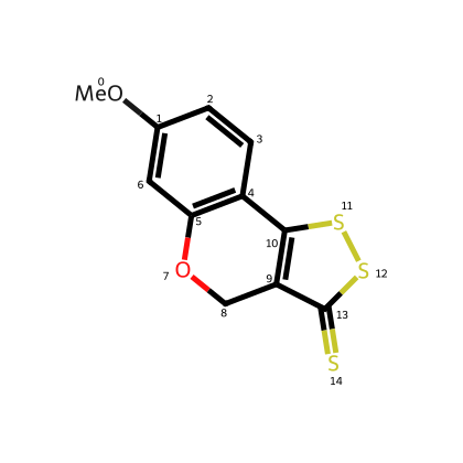 COc1ccc2c(c1)OCc1c-2ssc1=S